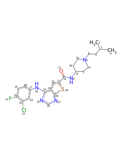 CC(C)CCN1CCC(NC(=O)c2cc3c(Nc4ccc(F)c(Cl)c4)ncnc3s2)CC1